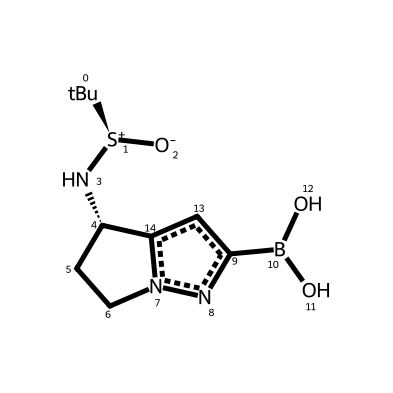 CC(C)(C)[S@@+]([O-])N[C@H]1CCn2nc(B(O)O)cc21